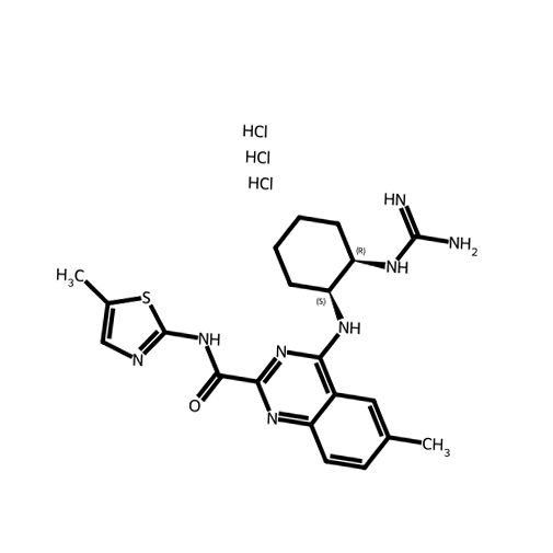 Cc1ccc2nc(C(=O)Nc3ncc(C)s3)nc(N[C@H]3CCCC[C@H]3NC(=N)N)c2c1.Cl.Cl.Cl